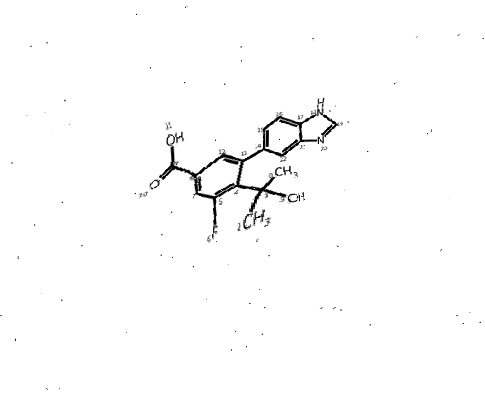 CC(C)(O)c1c(F)cc(C(=O)O)cc1-c1ccc2[nH]cnc2c1